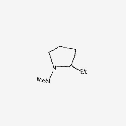 CCC1CCCN1NC